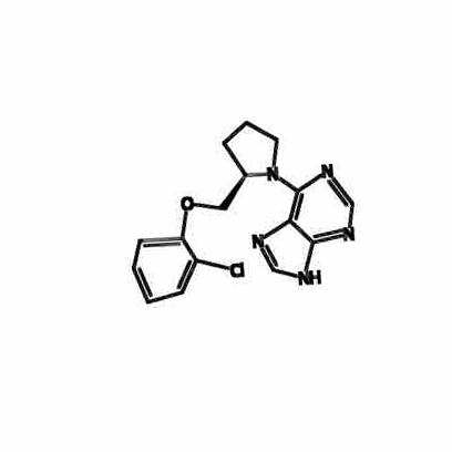 Clc1ccccc1OC[C@H]1CCCN1c1ncnc2[nH]cnc12